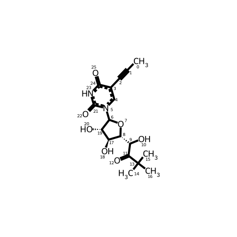 CC#Cc1cn(C2O[C@H](C(O)C(=O)C(C)(C)C)[C@@H](O)[C@@H]2O)c(=O)[nH]c1=O